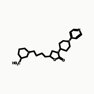 O=C(O)C1CCCN(CCCCC2CN(C3CCN(c4ccncc4)CC3)C(=O)O2)C1